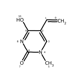 C=Cc1cn(C)c(=O)nc1O